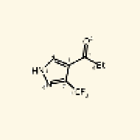 CCC(=O)c1c[nH]nc1C(F)(F)F